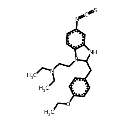 CCOc1ccc(CC2Nc3cc(N=C=S)ccc3N2CCN(CC)CC)cc1